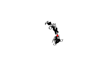 O=C(NC1CC(F)(F)C1)c1cc2c(cn1)CN(C1=NOC(c3cc(Cl)cc(Cl)c3)(C(F)(F)F)C1)C2